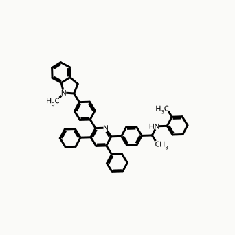 CC1=CCCC=C1NC(C)c1ccc(-c2nc(-c3ccc(C4Cc5ccccc5N4C)cc3)c(C3=CC=CCC3)cc2C2=CC=CCC2)cc1